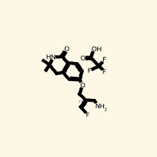 CC1(C)Cc2cc(OC/C(=C/F)CN)ccc2C(=O)N1.O=C(O)C(F)(F)F